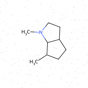 CC1CCC2CCN(C)C12